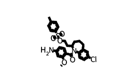 COc1cc(N)ccc1C(=O)N1c2ccc(Cl)cc2CCCC1CCOS(=O)(=O)c1ccc(C)cc1